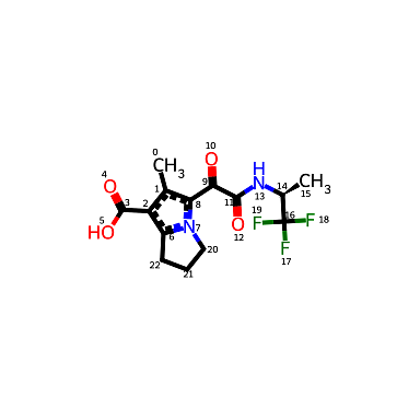 Cc1c(C(=O)O)c2n(c1C(=O)C(=O)N[C@@H](C)C(F)(F)F)CCC2